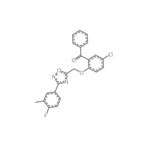 Cc1cc(-c2noc(COc3ccc(Cl)cc3C(=O)c3ccccc3)n2)ccc1F